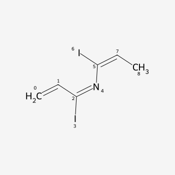 C=C/C(I)=N\C(I)=C/C